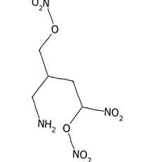 NCC(CO[N+](=O)[O-])CC(O[N+](=O)[O-])[N+](=O)[O-]